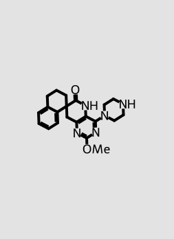 COc1nc2c(c(N3CCNCC3)n1)NC(=O)C1(CCCc3ccccc31)C2